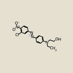 CCN(CCO)c1ccc(/N=N/c2ccc([N+](=O)[O-])c(Cl)c2)cc1